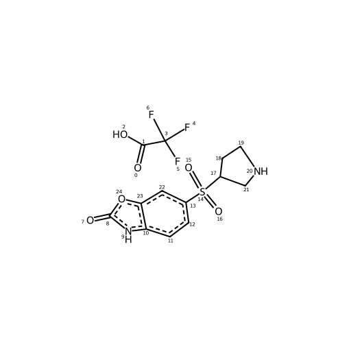 O=C(O)C(F)(F)F.O=c1[nH]c2ccc(S(=O)(=O)C3CCNC3)cc2o1